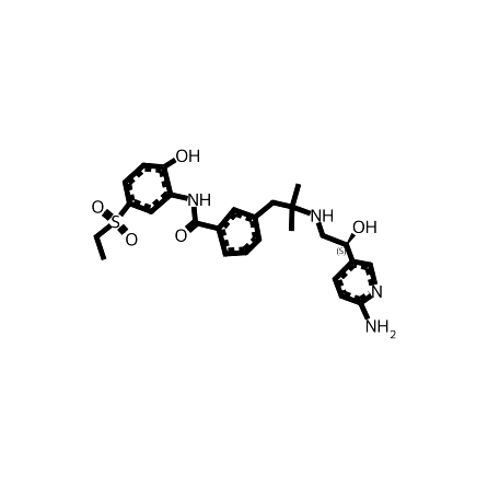 CCS(=O)(=O)c1ccc(O)c(NC(=O)c2cccc(CC(C)(C)NC[C@@H](O)c3ccc(N)nc3)c2)c1